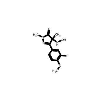 CSc1ccc(C2=NN(C)C(=O)C2(C)NO)cc1F